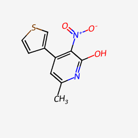 Cc1cc(-c2ccsc2)c([N+](=O)[O-])c(O)n1